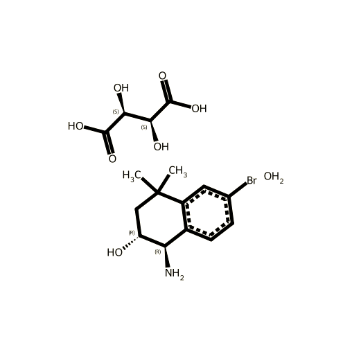 CC1(C)C[C@@H](O)[C@H](N)c2ccc(Br)cc21.O.O=C(O)[C@@H](O)[C@H](O)C(=O)O